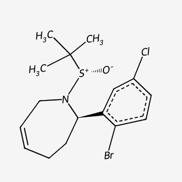 CC(C)(C)[S@+]([O-])N1CC=CCC[C@@H]1c1cc(Cl)ccc1Br